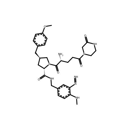 CNc1ccc(CNC(=O)[C@@H]2C[C@@H](Cc3ccc(OC)cc3)CN2C(=O)[C@H](N)CCC(=O)N2CCNC(=O)C2)cc1N=N